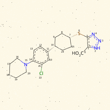 O=C(O)c1[nH]nnc1S[C@H]1CC[C@@H](c2ccc(N3CCCCC3)c(Cl)c2)CC1